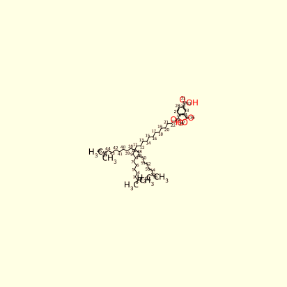 CC(C)CCCCCCCC(CCCCCCCCCCCCOC(=O)c1ccc(C(=O)O)cc1C(=O)O)(CCCCCCCC(C)C)CCCCCCCC(C)C